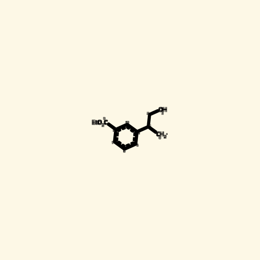 [CH2]C(CO)c1cccc(C(=O)OCC)c1